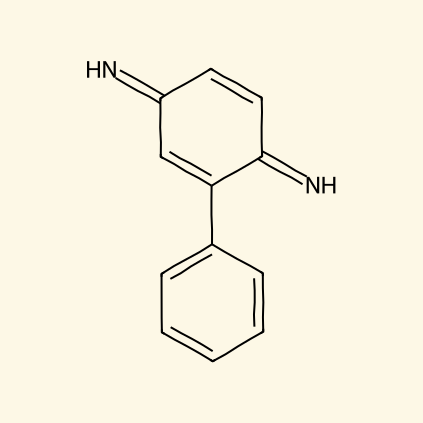 N=C1C=CC(=N)C(c2ccccc2)=C1